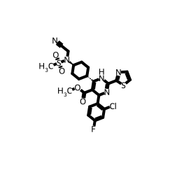 COC(=O)C1=C([C@H]2CC[C@H](N(CC#N)S(C)(=O)=O)CC2)NC(c2nccs2)=NC1c1ccc(F)cc1Cl